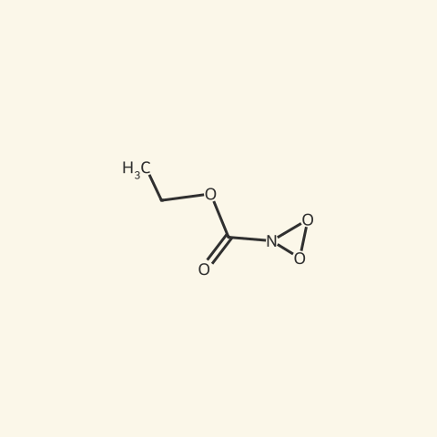 CCOC(=O)n1oo1